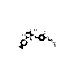 [N-]=[N+]=NCOc1ccc(COC2C(C(=O)O)=CNC(N3CCC4(CC3)CC4)N2I)cc1Cl